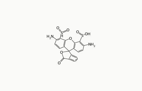 Nc1ccc2c(c1S(=O)O)Oc1c(ccc(N)c1[SH](=O)=O)C21OC(=O)c2ccccc21